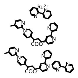 Cc1ccnc(N2C=CC(C(CCc3ccnc(-c4ccccn4)c3)C(=O)[O-])=CC2)c1.Cc1ccnc(N2C=CC(C(CCc3ccnc(-c4ccccn4)c3)C(=O)[O-])=CC2)c1.[Ru+2].c1ccc(-c2ccccn2)nc1.c1ccc(-c2ccccn2)nc1